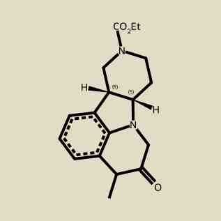 CCOC(=O)N1CC[C@H]2[C@@H](C1)c1cccc3c1N2CC(=O)C3C